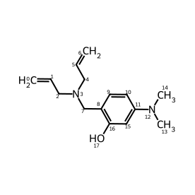 C=CCN(CC=C)Cc1ccc(N(C)C)cc1O